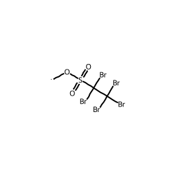 [CH2]OS(=O)(=O)C(Br)(Br)C(Br)(Br)Br